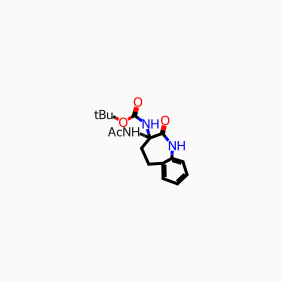 CC(=O)NC1(NC(=O)OC(C)(C)C)CCc2ccccc2NC1=O